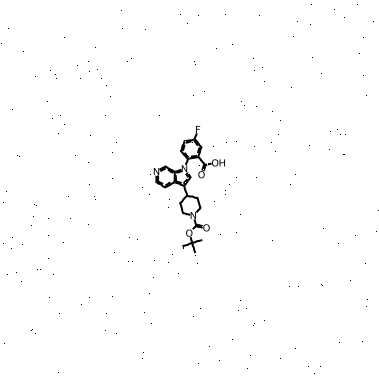 CC(C)(C)OC(=O)N1CCC(c2cn(-c3ccc(F)cc3C(=O)O)c3cnccc23)CC1